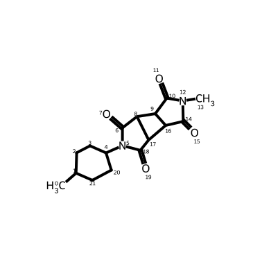 CC1CCC(N2C(=O)C3C4C(=O)N(C)C(=O)C4C3C2=O)CC1